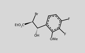 CCOC(=O)[C@@H](Br)[C@@H](O)c1ccc(F)c(F)c1OC